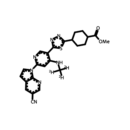 [2H]C([2H])([2H])Nc1cc(-n2ccc3cc(C#N)cnc32)ncc1-c1nnc(C2CCC(C(=O)OC)CC2)s1